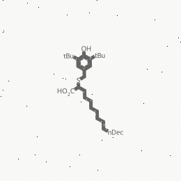 CCCCCCCCCCCCCCCCCCC(SCc1cc(C(C)(C)C)c(O)c(C(C)(C)C)c1)C(=O)O